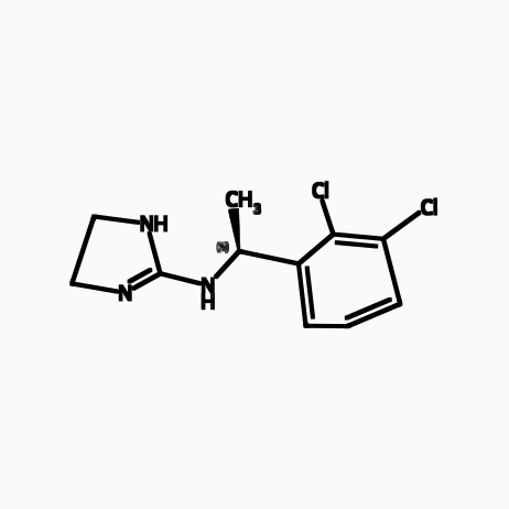 C[C@H](NC1=NCCN1)c1cccc(Cl)c1Cl